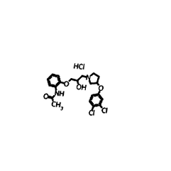 CC(=O)Nc1ccccc1OCC(O)CN1CCC(Oc2ccc(Cl)c(Cl)c2)C1.Cl